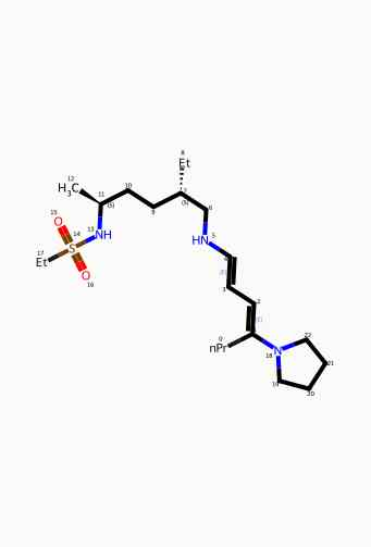 CCC/C(=C\C=C\NC[C@@H](CC)CC[C@H](C)NS(=O)(=O)CC)N1CCCC1